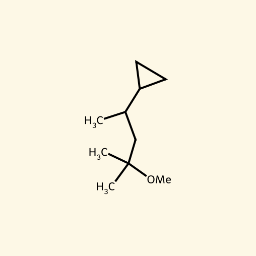 COC(C)(C)CC(C)C1CC1